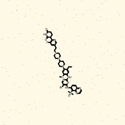 CCc1cc(Nc2ncc(Br)c(Nc3ccc4nccnc4c3P(C)(C)=O)n2)c(OC)cc1N1CCC(N2CCN(CCc3cnc(C4CCC(=O)NC4=O)c(F)c3)CC2)CC1